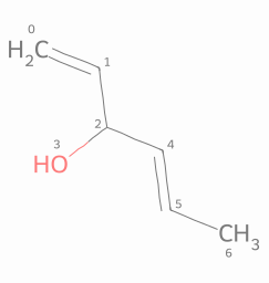 C=CC(O)/C=C/C